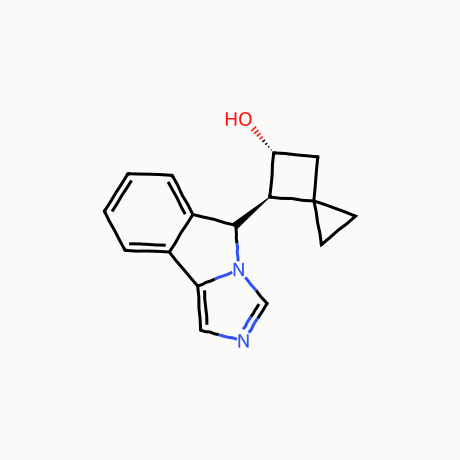 O[C@@H]1CC2(CC2)[C@H]1C1c2ccccc2-c2cncn21